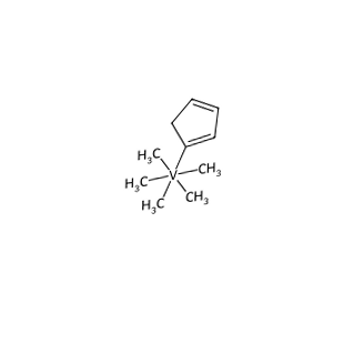 [CH3][V]([CH3])([CH3])([CH3])([CH3])[C]1=CC=CC1